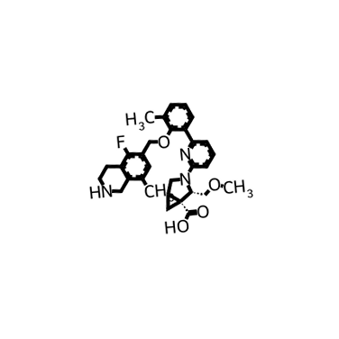 COC[C@H]1N(c2cccc(-c3cccc(C)c3OCc3cc(C)c4c(c3F)CCNC4)n2)CC2C[C@@]21C(=O)O